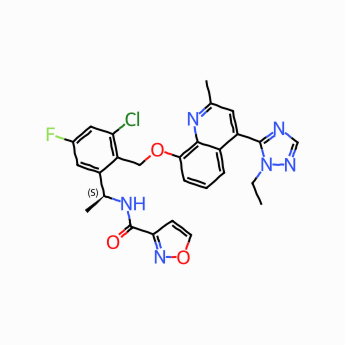 CCn1ncnc1-c1cc(C)nc2c(OCc3c(Cl)cc(F)cc3[C@H](C)NC(=O)c3ccon3)cccc12